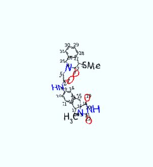 CSCC(=O)N(CC(=O)Nc1ccc2c(c1)CC1(C2)C(=O)NC(=O)N1C)Cc1ccccc1